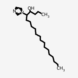 CCCCCCCCCCCCCCCC(C(O)CCC)n1ccnc1